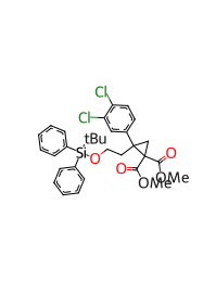 COC(=O)C1(C(=O)OC)CC1(CCO[Si](c1ccccc1)(c1ccccc1)C(C)(C)C)c1ccc(Cl)c(Cl)c1